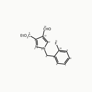 CCOC(=O)c1nn(Cc2ccccc2F)cc1C=O